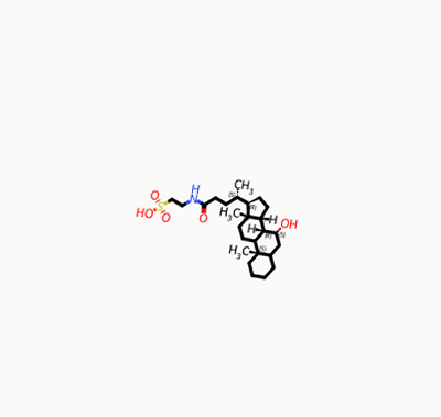 C[C@@H](CCC(=O)NCCS(=O)(=O)O)[C@H]1CC[C@@H]2[C@H]3C(CC[C@@]21C)[C@@]1(C)CCCCC1C[C@@H]3O